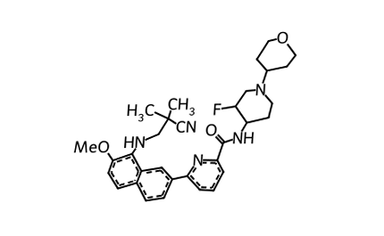 COc1ccc2ccc(-c3cccc(C(=O)NC4CCN(C5CCOCC5)CC4F)n3)cc2c1NCC(C)(C)C#N